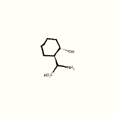 NC(C(=O)O)[C@H]1CCCC[C@@H]1O